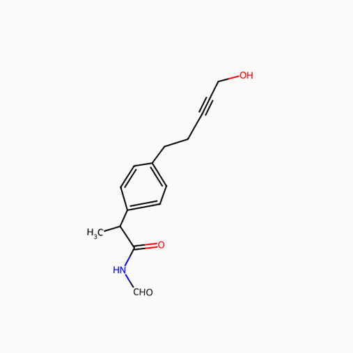 CC(C(=O)NC=O)c1ccc(CCC#CCO)cc1